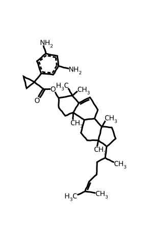 CC(C)=CCCC(C)C1CCC2(C)C3CC=C4C(C)(C)C(OC(=O)C5(c6cc(N)cc(N)c6)CC5)CCC4(C)C3CCC12C